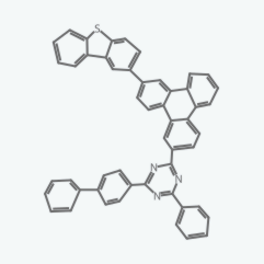 c1ccc(-c2ccc(-c3nc(-c4ccccc4)nc(-c4ccc5c6ccccc6c6cc(-c7ccc8sc9ccccc9c8c7)ccc6c5c4)n3)cc2)cc1